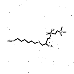 CCCCCCCCCCCCCCCCOCC(COP(=O)(O)CC[N+](C)(C)C)OC(C)=O